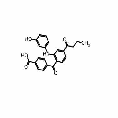 CCCC(=O)c1ccc(C(=O)c2ccc(C(=O)O)cc2)c(Nc2cccc(O)c2)c1